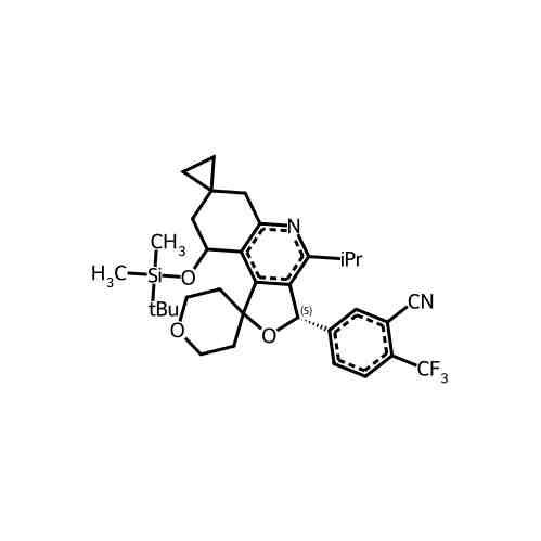 CC(C)c1nc2c(c3c1[C@H](c1ccc(C(F)(F)F)c(C#N)c1)OC31CCOCC1)C(O[Si](C)(C)C(C)(C)C)CC1(CC1)C2